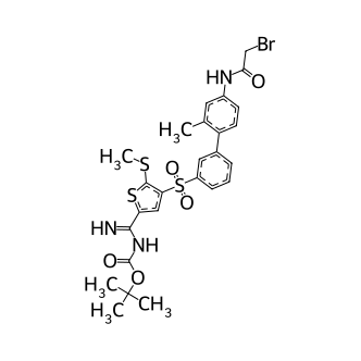 CSc1sc(C(=N)NC(=O)OC(C)(C)C)cc1S(=O)(=O)c1cccc(-c2ccc(NC(=O)CBr)cc2C)c1